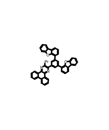 CC(C)c1nc2c3ccccc3c3ccccc3c2nc1-c1cc(-c2cccc3c2oc2ccccc23)cc(-c2cccc3c2oc2ccccc23)c1